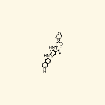 O=C(CCNc1nc(Nc2ccc3c(c2)CCNC3)ncc1C(F)(F)F)N1CCOCC1